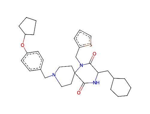 O=C1C(CC2CCCCC2)NC(=O)C2(CCN(Cc3ccc(OC4CCCC4)cc3)CC2)N1Cc1cccs1